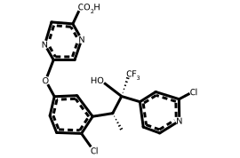 C[C@H](c1cc(Oc2cnc(C(=O)O)cn2)ccc1Cl)[C@@](O)(c1ccnc(Cl)c1)C(F)(F)F